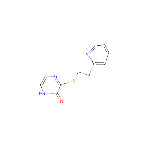 O=c1[nH]ccnc1SCCc1ccccn1